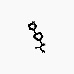 CC(C)C(C)Nc1ccc(-n2ccnc2)cc1